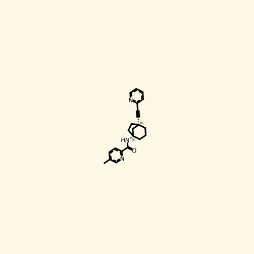 Cc1ccc(C(=O)N[C@]23CCC[C@](C#Cc4ccccn4)(CC2)C3)nc1